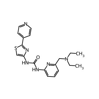 CCN(CC)Cc1cccc(NC(=O)Nc2csc(-c3ccncc3)n2)n1